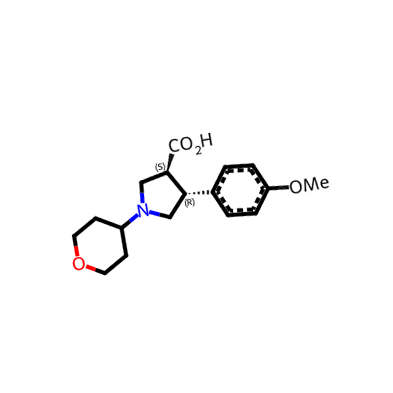 COc1ccc([C@@H]2CN(C3CCOCC3)C[C@H]2C(=O)O)cc1